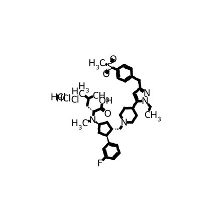 CCn1nc(Cc2ccc(S(C)(=O)=O)cc2)cc1C1CCN(C[C@H]2C[C@H](N(C)[C@H](CC(C)C)C(=O)O)C[C@@H]2c2cccc(F)c2)CC1.Cl.Cl.Cl